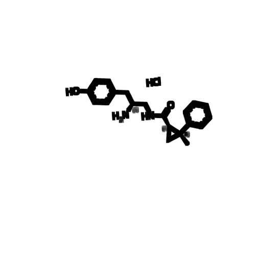 C[C@@]1(c2ccccc2)C[C@H]1C(=O)NC[C@@H](N)Cc1ccc(O)cc1.Cl